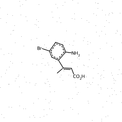 CC(=CC(=O)O)c1cc(Br)ccc1N